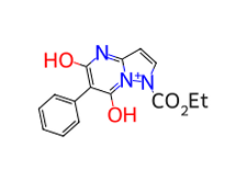 CCOC(=O)n1ccc2nc(O)c(-c3ccccc3)c(O)[n+]21